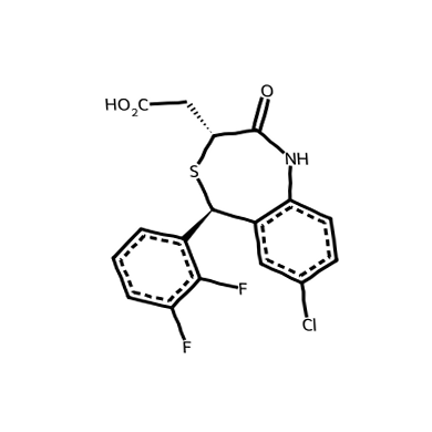 O=C(O)C[C@H]1S[C@H](c2cccc(F)c2F)c2cc(Cl)ccc2NC1=O